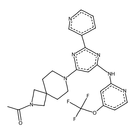 CC(=O)N1CC2(CCN(c3cc(Nc4cc(OC(F)(F)F)ccn4)nc(-c4cccnc4)n3)CC2)C1